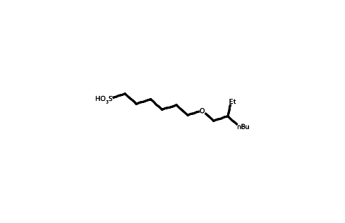 CCCCC(CC)COCCCCCCS(=O)(=O)O